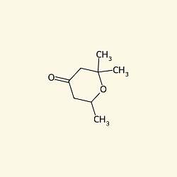 CC1CC(=O)CC(C)(C)O1